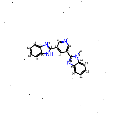 Cn1c(-c2cncc(-c3nc4ccccc4[nH]3)c2)nc2ccccc21